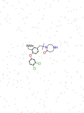 CNCc1cc(CC(C)(C)N2CCNCCC2=O)ccc1Oc1ccc(Cl)c(Cl)c1